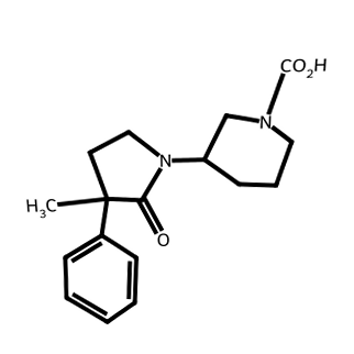 CC1(c2ccccc2)CCN(C2CCCN(C(=O)O)C2)C1=O